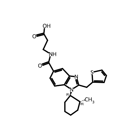 C[C@@H]1CCCC[C@H]1n1c(Cc2cccs2)nc2cc(C(=O)NCCC(=O)O)ccc21